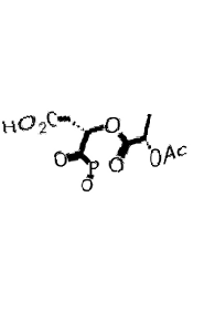 CC(=O)O[C@@H](C)C(=O)O[C@@H](CC(=O)O)C(=O)P=O